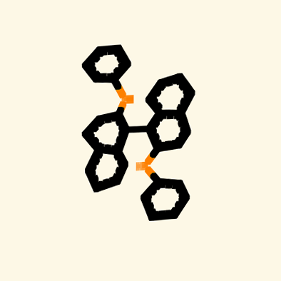 c1ccc(Pc2ccc3ccccc3c2-c2c(Pc3ccccc3)ccc3ccccc23)cc1